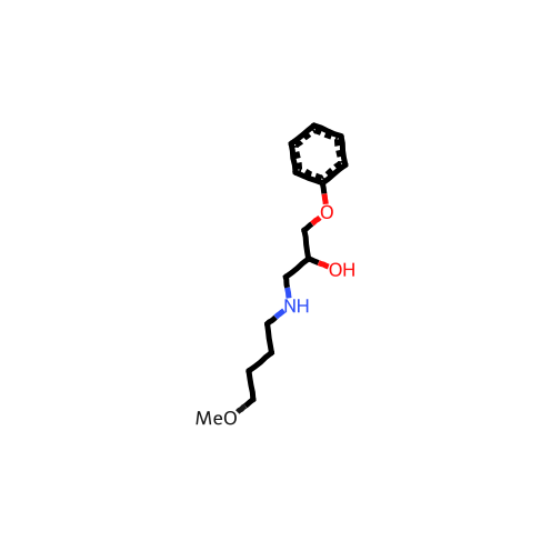 COCCCCNCC(O)COc1ccccc1